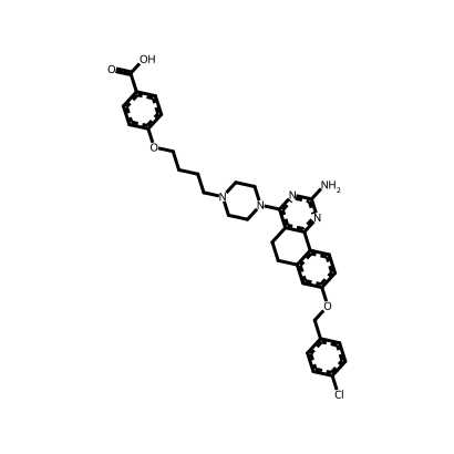 Nc1nc2c(c(N3CCN(CCCCOc4ccc(C(=O)O)cc4)CC3)n1)CCc1cc(OCc3ccc(Cl)cc3)ccc1-2